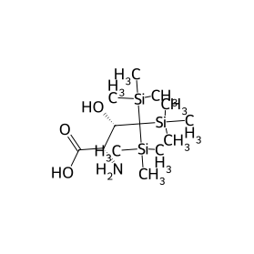 C[Si](C)(C)C([C@@H](O)[C@H](N)C(=O)O)([Si](C)(C)C)[Si](C)(C)C